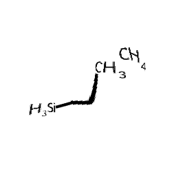 C.CC[SiH3]